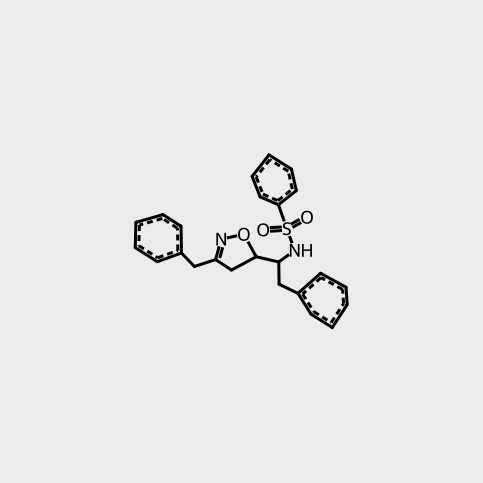 O=S(=O)(NC(Cc1ccccc1)C1CC(Cc2ccccc2)=NO1)c1ccccc1